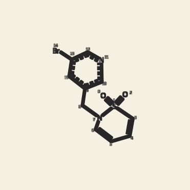 O=S1(=O)C=CC=CN1Cc1cncc(Br)c1